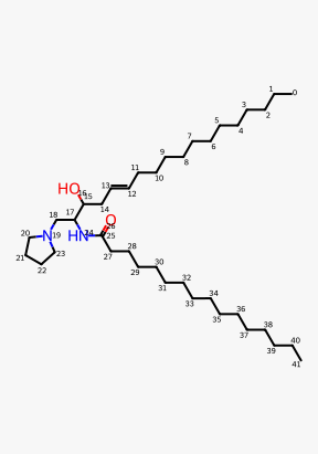 CCCCCCCCCCCCC=CCC(O)C(CN1CCCC1)NC(=O)CCCCCCCCCCCCCCC